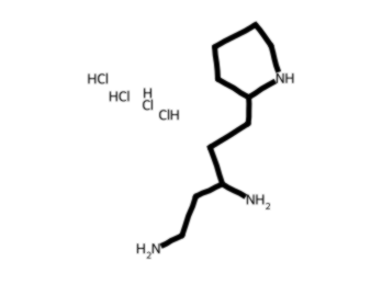 Cl.Cl.Cl.Cl.NCCC(N)CCC1CCCCN1